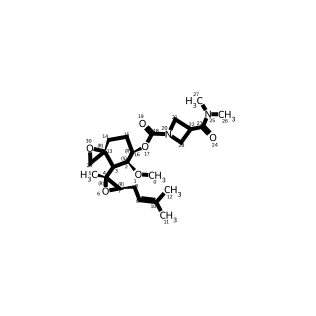 CO[C@H]1C([C@@]2(C)O[C@@H]2CC=C(C)C)[C@]2(CC[C@H]1OC(=O)N1CC(C(=O)N(C)C)C1)CO2